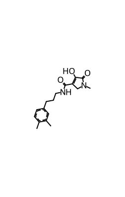 Cc1ccc(CCCNC(=O)C2=C(O)C(=O)N(C)C2)cc1C